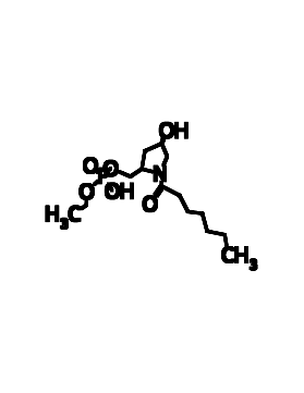 CCCCCCC(=O)N1C[C@H](O)CC1COP(=O)(O)OCC